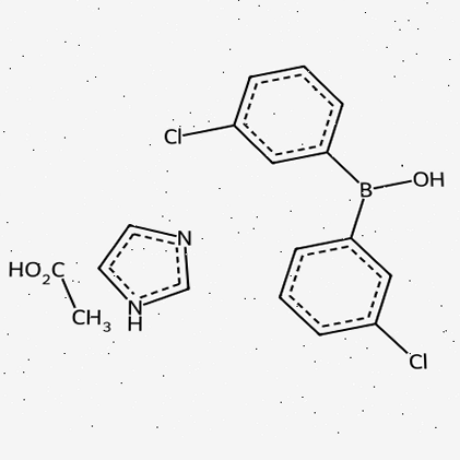 CC(=O)O.OB(c1cccc(Cl)c1)c1cccc(Cl)c1.c1c[nH]cn1